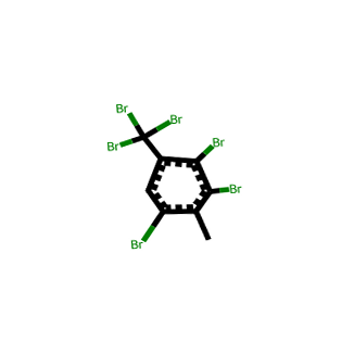 Cc1c(Br)cc(C(Br)(Br)Br)c(Br)c1Br